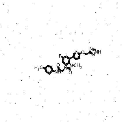 Cc1ccc(NC(=O)Cn2c(=O)n(C)c3c(-c4ccc(OCc5nc[nH]n5)nc4)cc(F)cc32)cc1